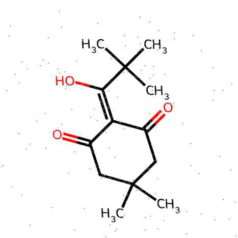 CC1(C)CC(=O)C(=C(O)C(C)(C)C)C(=O)C1